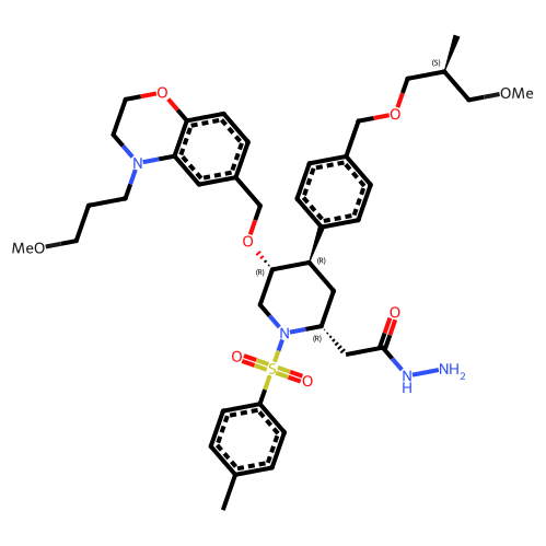 COCCCN1CCOc2ccc(CO[C@H]3CN(S(=O)(=O)c4ccc(C)cc4)[C@@H](CC(=O)NN)C[C@@H]3c3ccc(COC[C@@H](C)COC)cc3)cc21